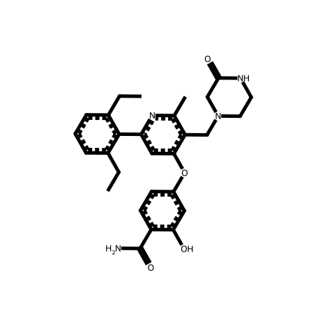 CCc1cccc(CC)c1-c1cc(Oc2ccc(C(N)=O)c(O)c2)c(CN2CCNC(=O)C2)c(C)n1